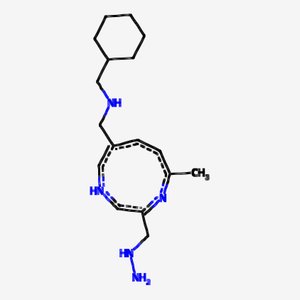 Cc1ccc(CNCC2CCCCC2)c[nH]cc(CNN)n1